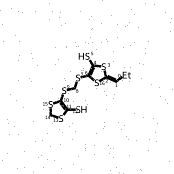 CC/C=C1\SC(S)=C(SCSC2=C(S)SCS2)S1